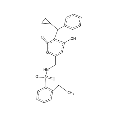 CCc1ccccc1S(=O)(=O)NCc1cc(O)c(C(c2ccccc2)C2CC2)c(=O)o1